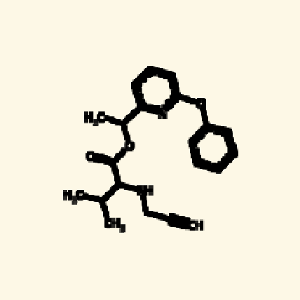 C#CCNC(C(=O)OC(C)c1cccc(Oc2ccccc2)n1)C(C)C